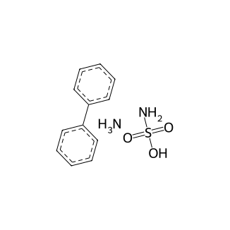 N.NS(=O)(=O)O.c1ccc(-c2ccccc2)cc1